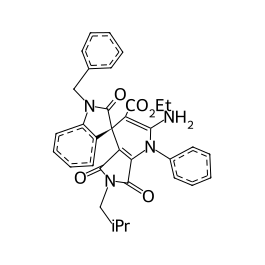 CCOC(=O)C1=C(N)N(c2ccccc2)C2=C(C(=O)N(CC(C)C)C2=O)[C@]12C(=O)N(Cc1ccccc1)c1ccccc12